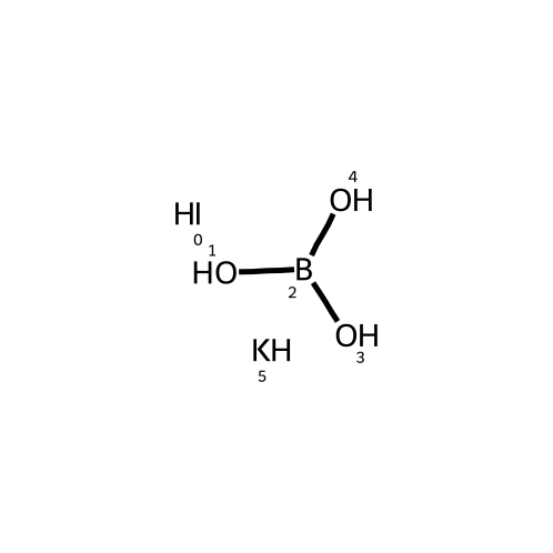 I.OB(O)O.[KH]